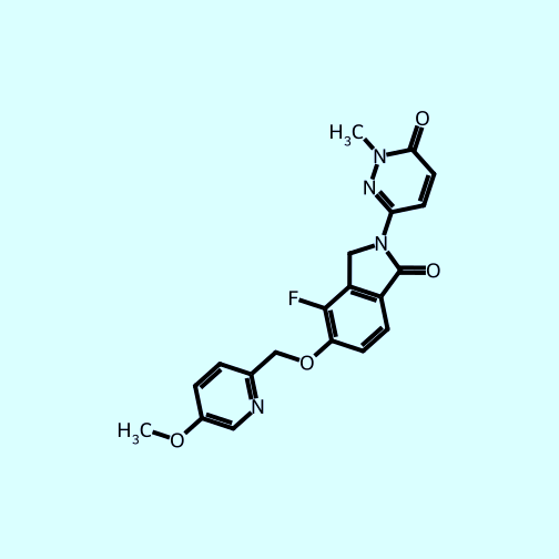 COc1ccc(COc2ccc3c(c2F)CN(c2ccc(=O)n(C)n2)C3=O)nc1